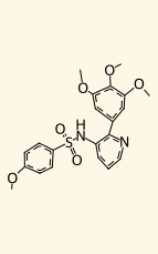 COc1ccc(S(=O)(=O)Nc2cccnc2-c2cc(OC)c(OC)c(OC)c2)cc1